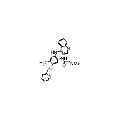 CNCC(=O)Nc1cc(OCc2ccccn2)c(C)cc1Nc1ncnc2ccccc12